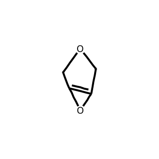 C1OCC2=C1O2